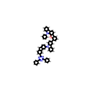 c1ccc(-c2nc(-c3ccccc3)nc(-c3ccc4c(c3)-c3cc(-n5c6ccccc6c6cc(-c7cccc8c7oc7c8ccc8c9ccccc9n(-c9ccccc9)c87)ccc65)ccc3C4)n2)cc1